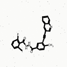 Cc1ccc(C(=O)NNC(=O)c2c(F)cccc2I)cc1C#Cc1cnc2ccccc2c1